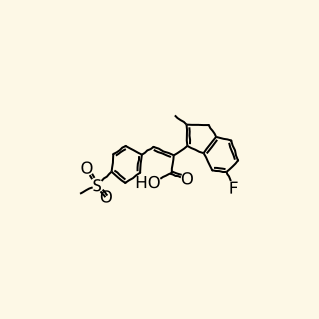 CC1=C(C(=Cc2ccc(S(C)(=O)=O)cc2)C(=O)O)c2cc(F)ccc2C1